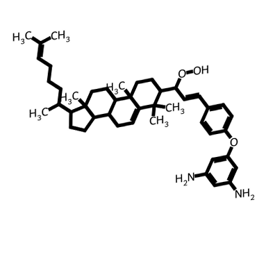 CC(C)=CCCCC(C)C1CCC2C3CC=C4C(C)(C)C(C(/C=C/c5ccc(Oc6cc(N)cc(N)c6)cc5)OO)CCC4(C)C3CCC12C